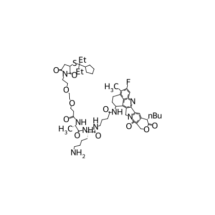 CCCC[C@@H]1C(=O)OCc2c1cc1n(c2=O)Cc2c-1nc1cc(F)c(C)c3c1c2[C@@H](NC(=O)CCCNC(=O)[C@H](CCCCN)NC(=O)[C@H](C)NC(=O)CCOCCOCCN1C(=O)CC(SC(CC)(CC)C2CCCC2)C1=O)CC3